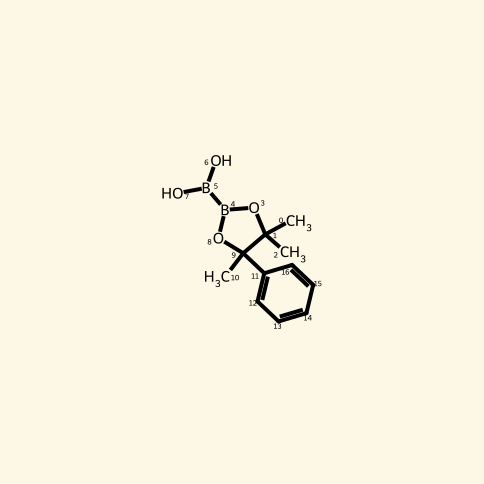 CC1(C)OB(B(O)O)OC1(C)c1ccccc1